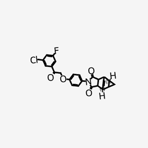 O=C(COc1ccc(N2C(=O)C3C(C2=O)[C@@H]2C=CC3[C@H]3CC23)cc1)c1cc(F)cc(Cl)c1